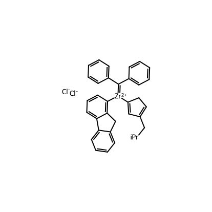 CC(C)CC1=CC[C]([Zr+2](=[C](c2ccccc2)c2ccccc2)[c]2cccc3c2Cc2ccccc2-3)=C1.[Cl-].[Cl-]